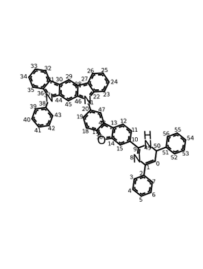 C1=C(c2ccccc2)N=C(c2ccc3c(c2)oc2ccc(-n4c5ccccc5c5cc6c7ccccc7n(-c7ccccc7)c6cc54)cc23)NC1c1ccccc1